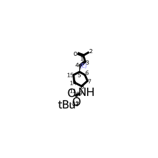 C=C(C)/C=C/[C@H]1CC[C@H](NC(=O)OC(C)(C)C)CC1